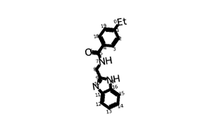 CCc1ccc(C(=O)NCc2nc3ccccc3[nH]2)cc1